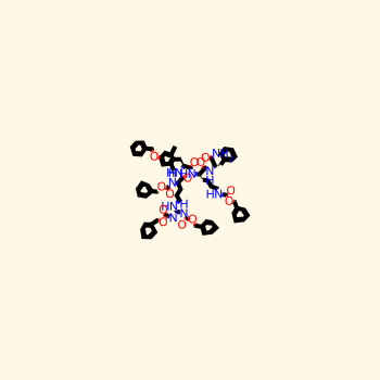 Cc1cc(OCc2ccccc2)cc(C)c1C[C@H](NC(=O)C(CCCN/C(=N\C(=O)OCc1ccccc1)NC(=O)OCc1ccccc1)NC(=O)OCc1ccccc1)C(=O)N[C@@H](CCCCNC(=O)OCc1ccccc1)C(=O)N[C@@H](Cc1ccccc1)C(N)=O